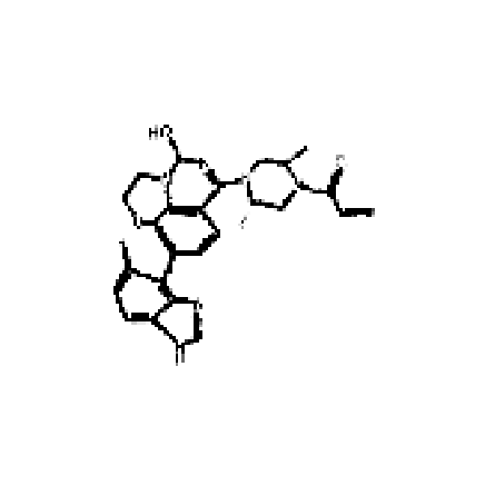 C=CC(=O)N1C[C@H](C)N(C2=NC(O)N3CCOc4c(-c5c(C)ccc6[nH]cnc56)ccc2c43)C[C@H]1C